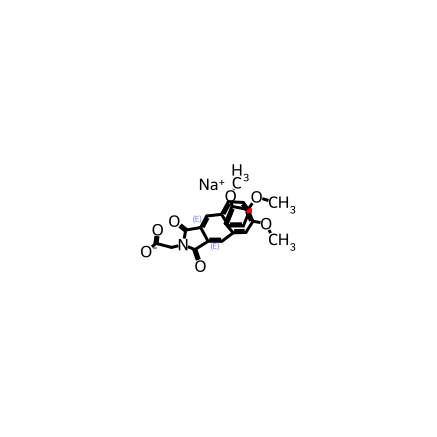 COc1cc(/C=C2/C(=O)N(CC(=O)[O-])C(=O)/C2=C/c2ccccc2)cc(OC)c1OC.[Na+]